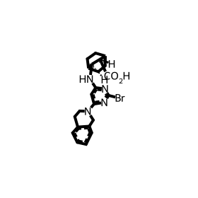 O=C(O)[C@H]1C2CCC(CC2)[C@@H]1Nc1cc(N2CCc3ccccc3C2)nc(Br)n1